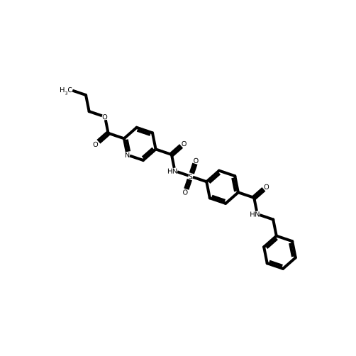 CCCOC(=O)c1ccc(C(=O)NS(=O)(=O)c2ccc(C(=O)NCc3ccccc3)cc2)cn1